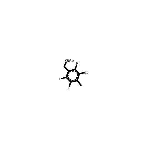 [CH2]c1c(F)c(F)c(COC)c(F)c1CC